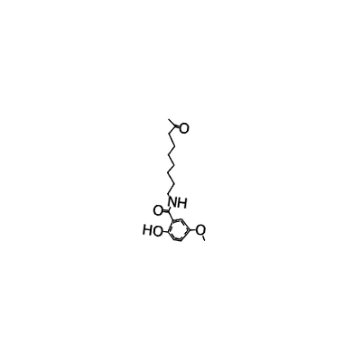 COc1ccc(O)c(C(=O)NCCCCCCCC(C)=O)c1